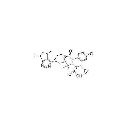 C[C@@H]1C[C@@H](F)c2ncnc(N3CCN(C(=O)C(c4ccc(Cl)cc4)[C@H](N(CC4CC4)C(=O)O)C(C)(C)C)CC3)c21